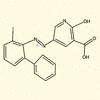 O=C(O)c1cc(/N=N/c2c(I)cccc2-c2ccccc2)cnc1O